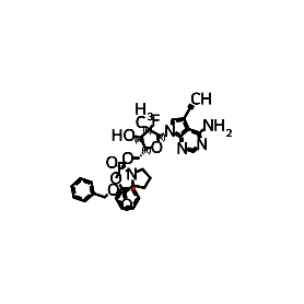 C#Cc1cn([C@@H]2O[C@H](COP(=O)(Oc3ccccc3)N3CCCC3C(=O)OCc3ccccc3)[C@@H](O)[C@@]2(C)F)c2ncnc(N)c12